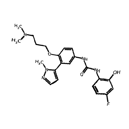 CN(C)CCCOc1ccc(NC(=O)Nc2ccc(F)cc2O)cc1-c1ccnn1C